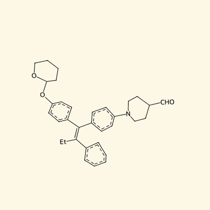 CC/C(=C(\c1ccc(OC2CCCCO2)cc1)c1ccc(N2CCC(C=O)CC2)cc1)c1ccccc1